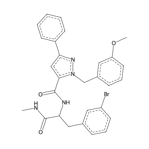 CNC(=O)C(Cc1cccc(Br)c1)NC(=O)c1cc(-c2ccccc2)nn1Cc1cccc(OC)c1